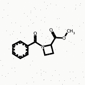 COC(=O)C1CCN1C(=O)c1ccccc1